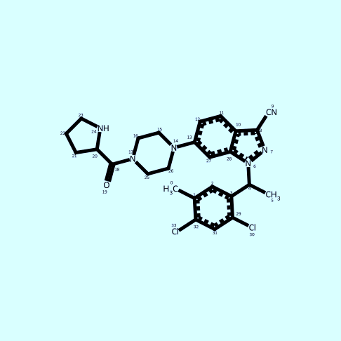 Cc1cc(C(C)n2nc(C#N)c3ccc(N4CCN(C(=O)C5CCCN5)CC4)cc32)c(Cl)cc1Cl